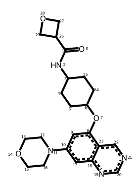 O=C(NC1CCC(Oc2cc(N3CCOCC3)cc3ncncc23)CC1)C1COC1